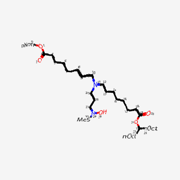 CCCCCCCCCOC(=O)CCCCCCCN(CCCCCCCC(=O)OC(CCCCCCCC)CCCCCCCC)CCCN(O)SC